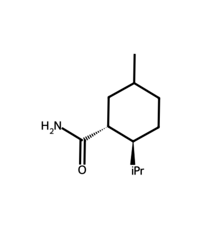 CC1CC[C@@H](C(C)C)[C@H](C(N)=O)C1